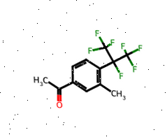 CC(=O)c1ccc(C(F)(C(F)(F)F)C(F)(F)F)c(C)c1